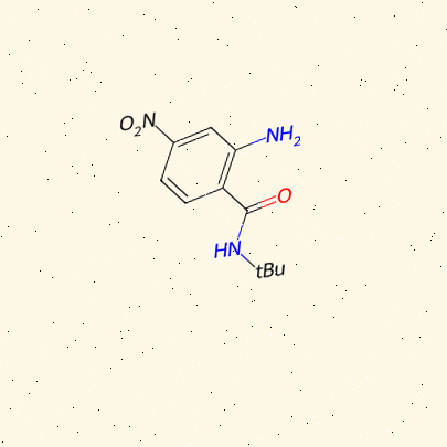 CC(C)(C)NC(=O)c1ccc([N+](=O)[O-])cc1N